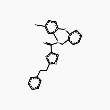 O=C(c1csc(CCc2ccccc2)n1)N1Cc2ccccc2Oc2ccc(Cl)cc21